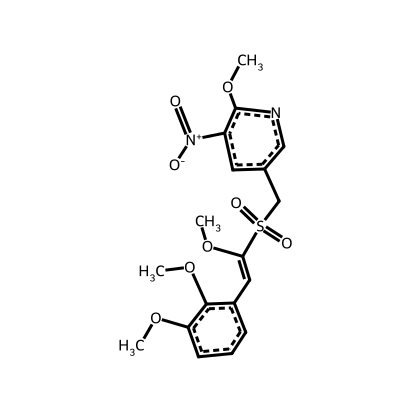 COC(=Cc1cccc(OC)c1OC)S(=O)(=O)Cc1cnc(OC)c([N+](=O)[O-])c1